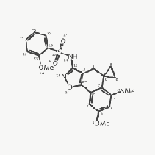 CNc1cc(OC)cc2c1C1(CC1)Cc1c(NS(=O)(=O)c3ccccc3OC)noc1-2